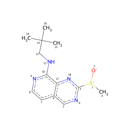 C[S+]([O-])c1ncc2ccnc(NCC(C)(C)C)c2n1